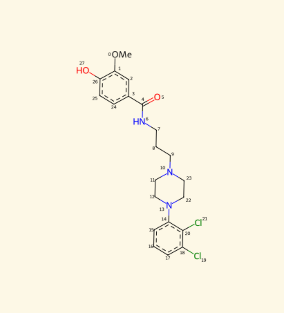 COc1cc(C(=O)NCCCN2CCN(c3cccc(Cl)c3Cl)CC2)ccc1O